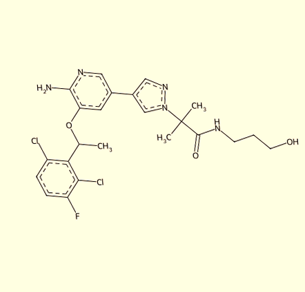 CC(Oc1cc(-c2cnn(C(C)(C)C(=O)NCCCO)c2)cnc1N)c1c(Cl)ccc(F)c1Cl